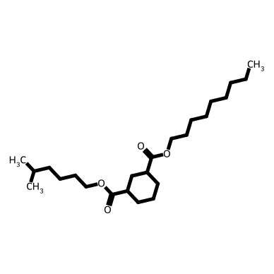 CCCCCCCCCOC(=O)C1CCCC(C(=O)OCCCCC(C)C)C1